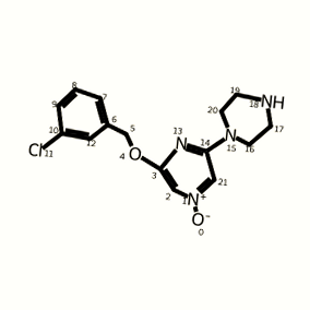 [O-][n+]1cc(OCc2cccc(Cl)c2)nc(N2CCNCC2)c1